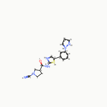 N#CN1CCC(C(=O)Nc2ncc(-c3cccc(-n4cccn4)c3)s2)C1